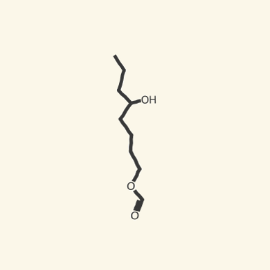 CCCC(O)CCCCOC=O